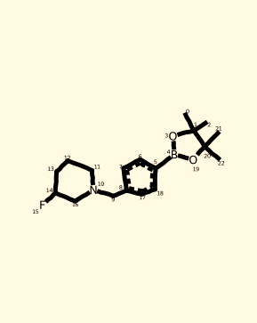 CC1(C)OB(c2ccc(CN3CCCC(F)C3)cc2)OC1(C)C